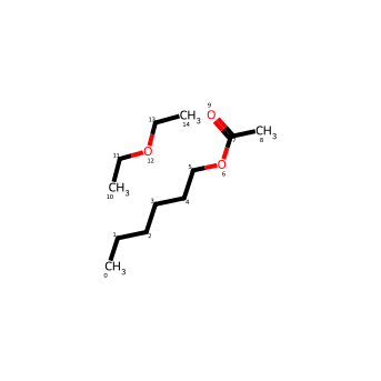 CCCCCCOC(C)=O.CCOCC